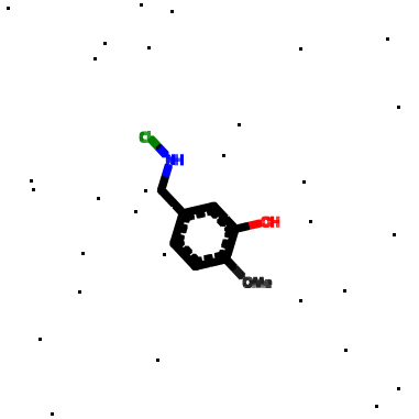 COc1ccc(CNCl)cc1O